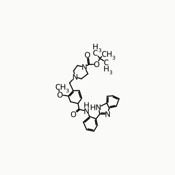 COC1=C(CN2CCN(C(=O)OC(C)(C)C)CC2)C=CC(C(=O)Nc2ccccc2-c2nc3ccccc3[nH]2)C1